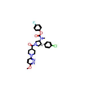 COc1ccc(N2CCC(C(=O)N3C[C@@H](N(C)C(=O)Oc4ccc(F)cc4)[C@H](c4ccc(Cl)cc4)C3)CC2)nn1